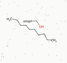 CCCCCCCCCC.CCCCCCCCO